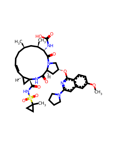 COc1ccc2c(O[C@@H]3C[C@H]4C(=O)N[C@]5(C(=O)NS(=O)(=O)C6(C)CC6)C[C@H]5/C=C\CC[C@@H](C)C[C@@H](C)[C@H](NC(=O)O)C(=O)N4C3)nc(N3CCCC3)cc2c1